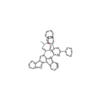 CC1C=C(c2cc3c4ccccc4oc3c3c4ccc#cc4n(-c4nc(-c5ccccc5)cc(-c5ccccc5)n4)c23)C=CC1c1ccccc1